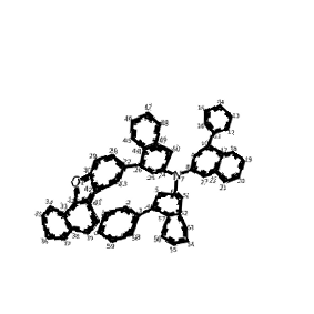 c1ccc(-c2cc(N(c3cc(-c4ccccc4)c4ccccc4c3)c3cc(-c4ccc5oc6c7ccccc7ccc6c5c4)c4ccccc4c3)cc3ccccc23)cc1